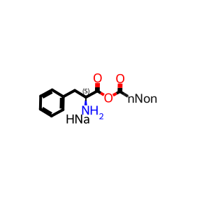 CCCCCCCCCC(=O)OC(=O)[C@@H](N)Cc1ccccc1.[NaH]